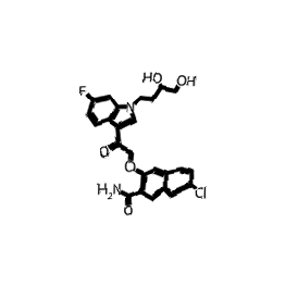 NC(=O)c1cc2cc(Cl)ccc2cc1OCC(=O)c1cn(CCC(O)CO)c2cc(F)ccc12